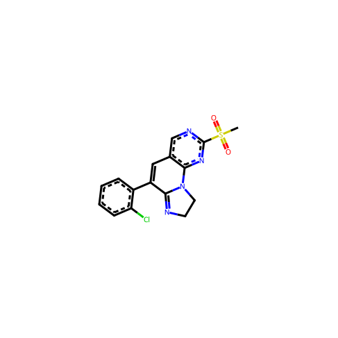 CS(=O)(=O)c1ncc2c(n1)N1CCN=C1C(c1ccccc1Cl)=C2